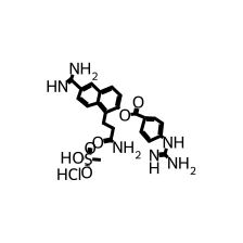 CS(=O)(=O)O.Cl.N=C(N)Nc1ccc(C(=O)Oc2ccc3cc(C(=N)N)ccc3c2CCC(N)=O)cc1